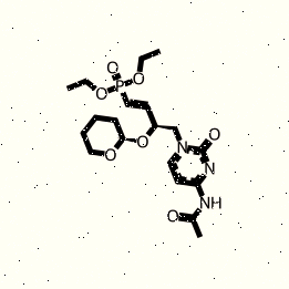 CCOP(=O)(/C=C/[C@@H](Cn1ccc(NC(C)=O)nc1=O)O[C@@H]1CCCCO1)OCC